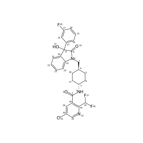 O=C(N[C@H]1CC[C@H](CN2C(=O)C(O)(c3cccc(F)c3)c3ccccc32)CC1)c1cc(Cl)cnc1C(F)F